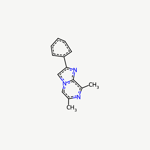 Cc1cn2cc(-c3ccccc3)nc2c(C)n1